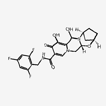 O=C(NCc1c(F)cc(F)cc1F)c1cn2c(c(O)c1=O)C(O)N1[C@H]3CC[C@H](C3)O[C@@H]1C2